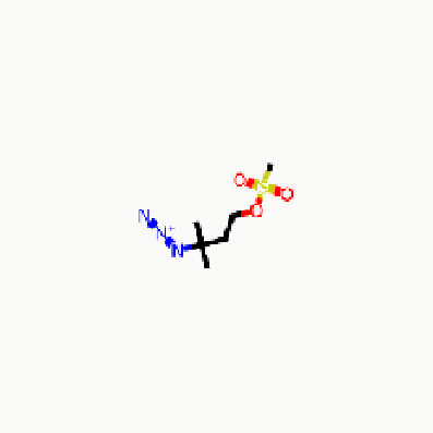 CC(C)(CCOS(C)(=O)=O)N=[N+]=[N-]